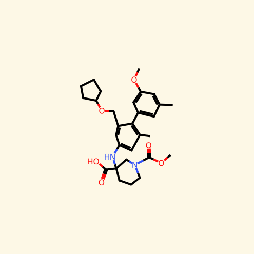 COC(=O)N1CCCC(Nc2cc(C)c(-c3cc(C)cc(OC)c3)c(COC3CCCC3)c2)(C(=O)O)C1